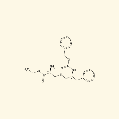 CCOC(=O)[C@@H](N)CSC[C@@H](Cc1ccccc1)NC(=O)OCc1ccccc1